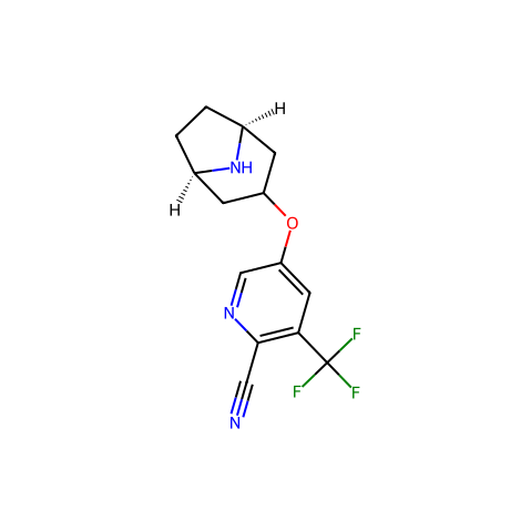 N#Cc1ncc(OC2C[C@H]3CC[C@@H](C2)N3)cc1C(F)(F)F